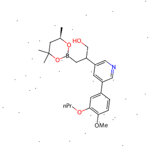 CCCOc1cc(-c2cncc(C(CO)CB3O[C@H](C)CC(C)(C)O3)c2)ccc1OC